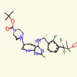 Cc1nc(N[C@H](C)c2cccc(C(F)(F)C(C)(C)O)c2F)c2cc(N3CCN(C(=O)OC(C)(C)C)CC3)cnc2n1